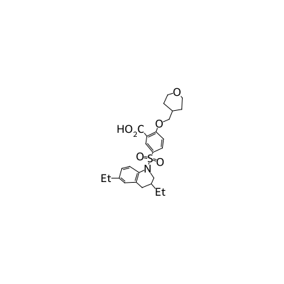 CCc1ccc2c(c1)CC(CC)CN2S(=O)(=O)c1ccc(OCC2CCOCC2)c(C(=O)O)c1